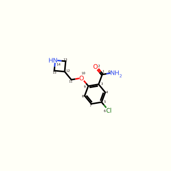 NC(=O)c1cc(Cl)ccc1OCC1CNC1